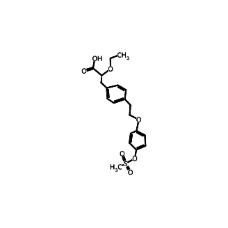 CCO[C@@H](Cc1ccc(CCOc2ccc(OS(C)(=O)=O)cc2)cc1)C(=O)O